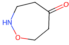 O=C1CCNOCC1